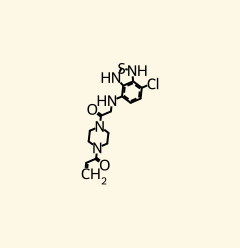 C=CC(=O)N1CCN(C(=O)CNc2ccc(Cl)c3c2NSN3)CC1